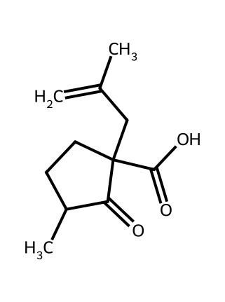 C=C(C)CC1(C(=O)O)CCC(C)C1=O